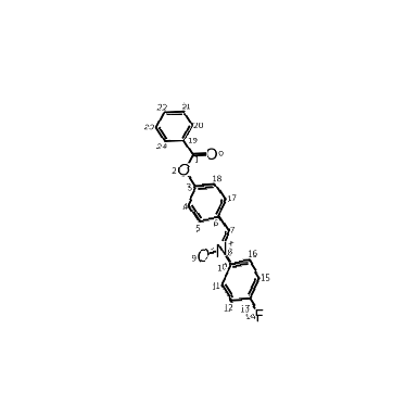 O=C(Oc1ccc(C=[N+]([O-])c2ccc(F)cc2)cc1)c1ccccc1